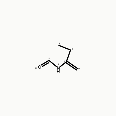 C=C(CC)NC=O